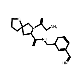 C=C(NCC1C=C(C=N)C=CC1)C1CC2(CCCO2)CN1C(=C)CN